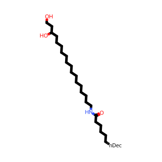 CCCCCCCCCCCCCCCC(=O)NCCCCCCCCCCCCCCCC(O)CCO